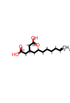 C=CCCCCCCC(CC(=O)O)CC(=O)O